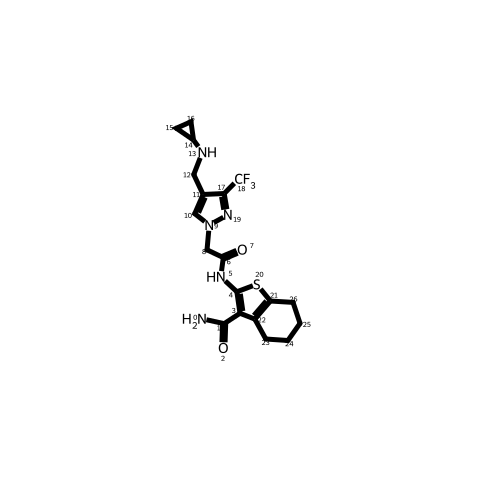 NC(=O)c1c(NC(=O)Cn2cc(CNC3CC3)c(C(F)(F)F)n2)sc2c1CCCC2